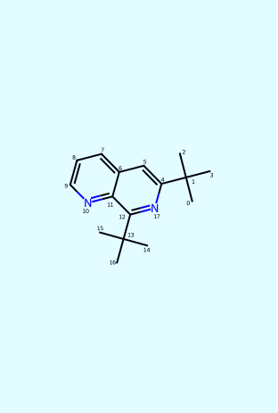 CC(C)(C)c1cc2cccnc2c(C(C)(C)C)n1